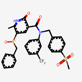 Cc1[nH]c(=O)c(C(=O)N(Cc2ccc(S(C)(=O)=O)cc2)c2cccc(C(F)(F)F)c2)cc1[S+]([O-])Cc1ccccc1